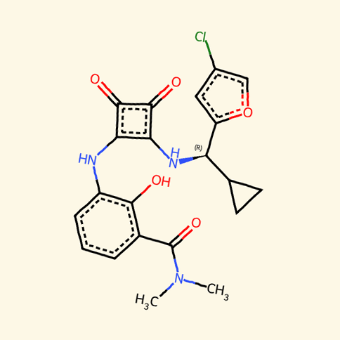 CN(C)C(=O)c1cccc(Nc2c(N[C@@H](c3cc(Cl)co3)C3CC3)c(=O)c2=O)c1O